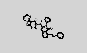 C[C@H](NC(=O)c1c(N)nn2cccnc12)c1nc2cccc(/C=C/c3ccccc3)c2c(=O)n1-c1ccccc1